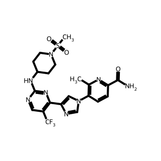 Cc1nc(C(N)=O)ccc1-n1cnc(-c2nc(NC3CCN(S(C)(=O)=O)CC3)ncc2C(F)(F)F)c1